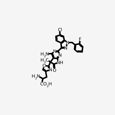 CC1(c2nc(CC(N)C(=O)O)co2)C(=O)Nc2nc(-c3nn(Cc4ccccc4F)c4cc(Cl)ccc34)nc(N)c21